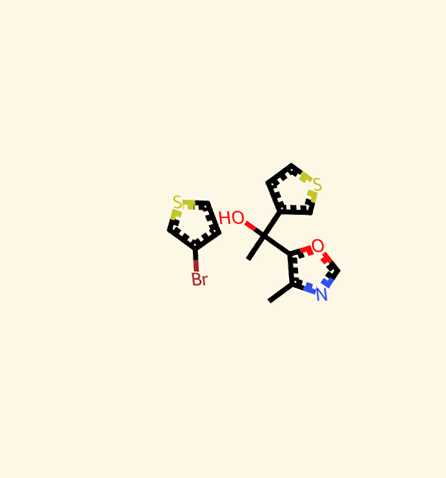 Brc1ccsc1.Cc1ncoc1C(C)(O)c1ccsc1